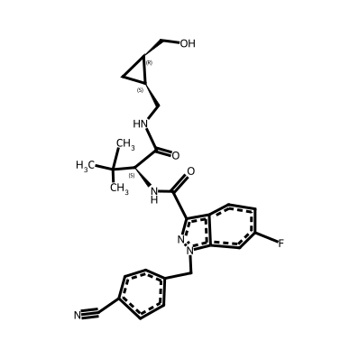 CC(C)(C)[C@H](NC(=O)c1nn(Cc2ccc(C#N)cc2)c2cc(F)ccc12)C(=O)NC[C@H]1C[C@H]1CO